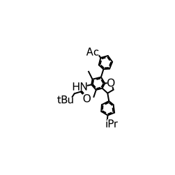 CC(=O)c1cccc(-c2c(C)c(NC(=O)CC(C)(C)C)c(C)c3c2OCC3c2ccc(C(C)C)cc2)c1